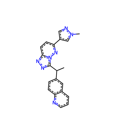 CC(c1ccc2ncccc2c1)c1nnc2ccc(-c3cnn(C)c3)nn12